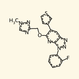 Cn1cnc(COc2nc3c(cc2-c2ccsc2)nnn3-c2ccccc2F)n1